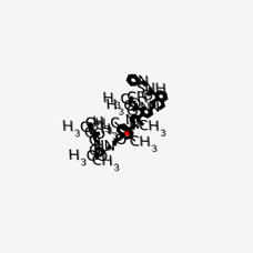 Cc1c(-c2ccc(N3CCc4cccc(C(=O)Nc5nc6ccccc6s5)c4C3)nc2C(=O)OC(C)(C)C)cnn1CC12CC3(OCCNC[C@@H]4OC(C)(C)O[C@H]4COC(=O)OC(C)(C)C)C[C@](C)(C1)C[C@](C)(C2)C3